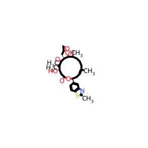 C/C1=C/C[C@@H](c2ccc3sc(C)nc3c2)OC(=O)C[C@H](O)C(C)(C)C(=O)[C@H](CC2CO2)C(O)[C@@H](C)CCC1